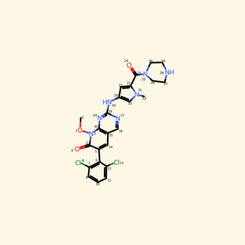 COn1c(=O)c(-c2c(Cl)cccc2Cl)cc2cnc(Nc3cc(C(=O)N4CCNCC4)n(C)c3)nc21